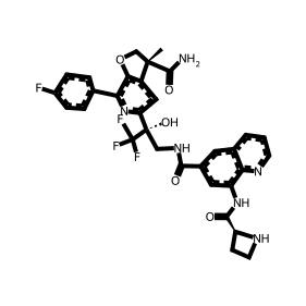 C[C@]1(C(N)=O)COc2c1cc([C@@](O)(CNC(=O)c1cc(NC(=O)[C@@H]3CCN3)c3ncccc3c1)C(F)(F)F)nc2-c1ccc(F)cc1